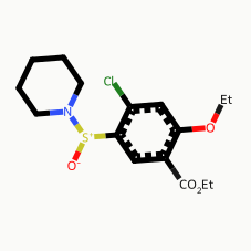 CCOC(=O)c1cc([S+]([O-])N2CCCCC2)c(Cl)cc1OCC